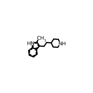 Cc1[nH]c2ccccc2c1CCC1CCNCC1